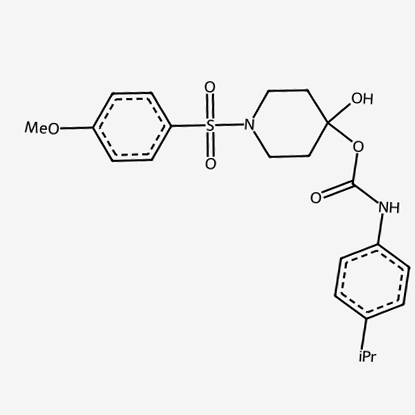 COc1ccc(S(=O)(=O)N2CCC(O)(OC(=O)Nc3ccc(C(C)C)cc3)CC2)cc1